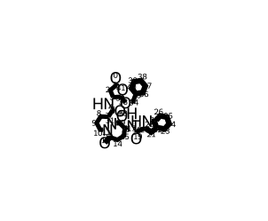 O=C1CC(NC(=O)C2CCCN3C(=O)CCC(NC(=O)c4cc5ccccc5[nH]4)C(=O)N23)C(OCc2ccccc2)O1